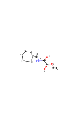 COC(=O)C(=O)NBC1CCCCCC1